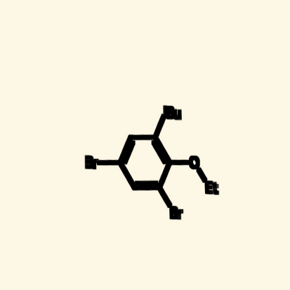 [CH2]COc1c(Br)cc(Br)cc1C(C)CC